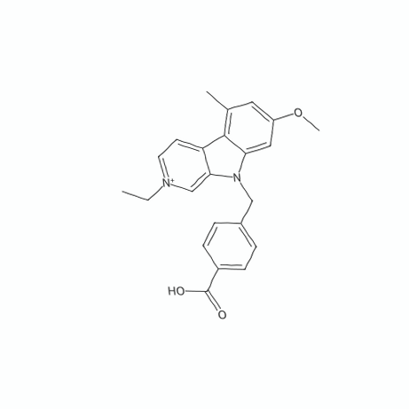 CC[n+]1ccc2c3c(C)cc(OC)cc3n(Cc3ccc(C(=O)O)cc3)c2c1